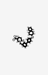 O=C(O)C1CCCN(Cc2cccc(-c3ccc(OC4CCC5(CCCC5)CC4)cc3)c2F)C1